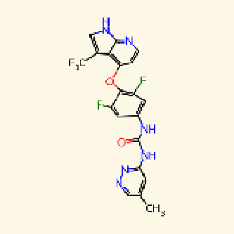 Cc1cnnc(NC(=O)Nc2cc(F)c(Oc3ccnc4[nH]cc(C(F)(F)F)c34)c(F)c2)c1